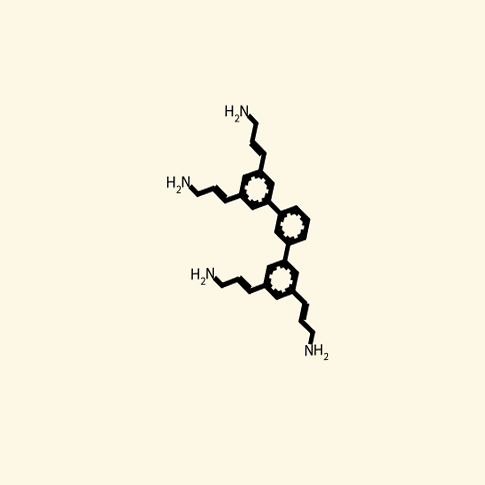 NC/C=C/c1cc(/C=C/CN)cc(-c2cccc(-c3cc(/C=C/CN)cc(/C=C/CN)c3)c2)c1